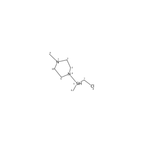 CN1CCN([SiH](C)CCl)CC1